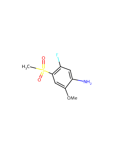 COc1cc(S(C)(=O)=O)c(F)cc1N